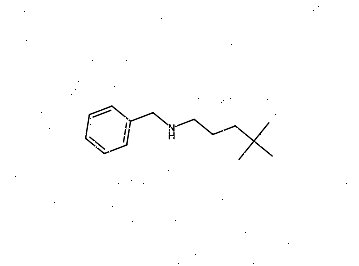 CC(C)(C)CCCNCc1ccccc1